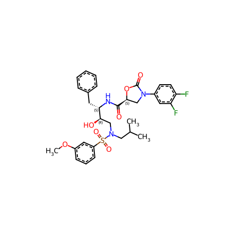 COc1cccc(S(=O)(=O)N(CC(C)C)C[C@@H](O)[C@H](Cc2ccccc2)NC(=O)[C@@H]2CN(c3ccc(F)c(F)c3)C(=O)O2)c1